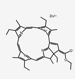 CCOC([O-])=C1C=C2C3=NC(=CC4=NC(=CC5=NC(=Cc6[n-]c2c(C)c6CC)C(C)=C5CC)C(C)=C4CC)C(C)C31CC.[Zn+2]